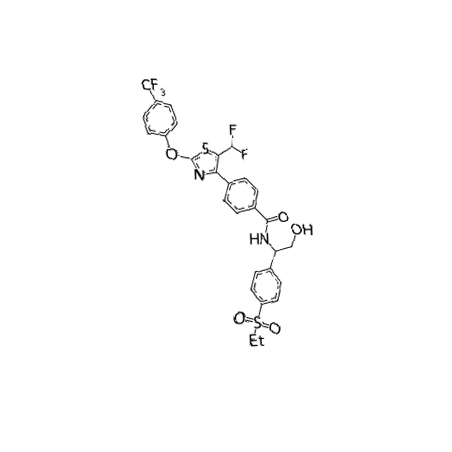 CCS(=O)(=O)c1ccc(C(CO)NC(=O)c2ccc(-c3nc(Oc4ccc(C(F)(F)F)cc4)sc3C(F)F)cc2)cc1